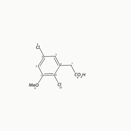 COc1cc(Cl)cc(CC(=O)O)c1Cl